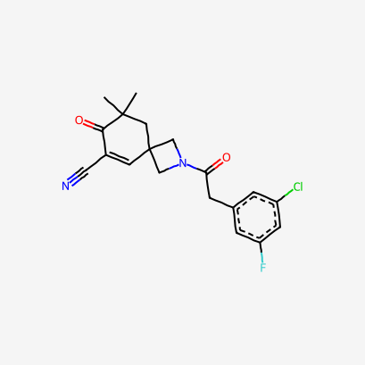 CC1(C)CC2(C=C(C#N)C1=O)CN(C(=O)Cc1cc(F)cc(Cl)c1)C2